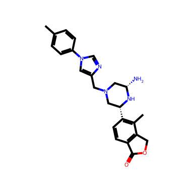 Cc1ccc(-n2cnc(CN3C[C@@H](c4ccc5c(c4C)COC5=O)N[C@@H](N)C3)c2)cc1